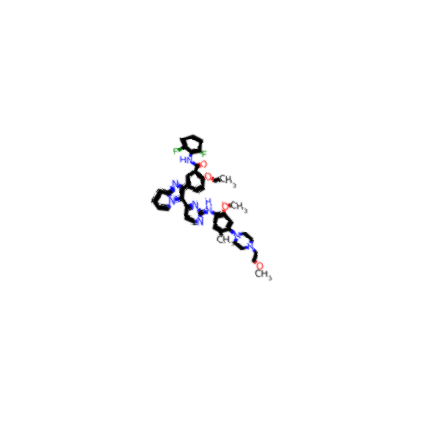 CCOc1ccc(-c2nc3ccccn3c2-c2ccnc(Nc3cc(C)c(N4CCN(CCOC)CC4)cc3OC)n2)cc1C(=O)Nc1c(F)cccc1F